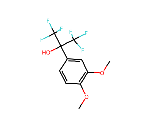 COc1ccc(C(O)(C(F)(F)F)C(F)(F)F)cc1OC